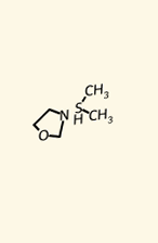 C[SH](C)N1CCOC1